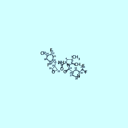 C=C1[C@H](C)C[C@H](C(=O)N[C@@H](c2cc(F)c(Cl)cc2F)C2COC2)N1C(=O)c1ccnc(C(F)F)c1